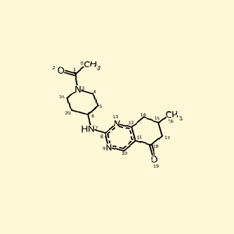 CC(=O)N1CCC(Nc2ncc3c(n2)CC(C)CC3=O)CC1